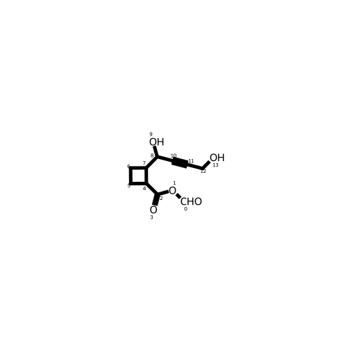 O=COC(=O)C1CCC1C(O)C#CCO